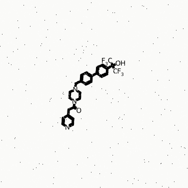 O=C(Cc1ccncc1)N1CCN(Cc2ccc(-c3ccc(C(O)(C(F)(F)F)C(F)(F)F)cc3)cc2)CC1